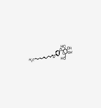 CCCCCCCCCCOc1ccc(O[C@@H]2O[C@H](CO)[C@@H](O)[C@H](O)[C@H]2O)cc1